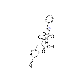 N#Cc1ccc(CC(C(=O)O)C(=O)NS(=O)(=O)/C=C/c2ccccc2)cc1